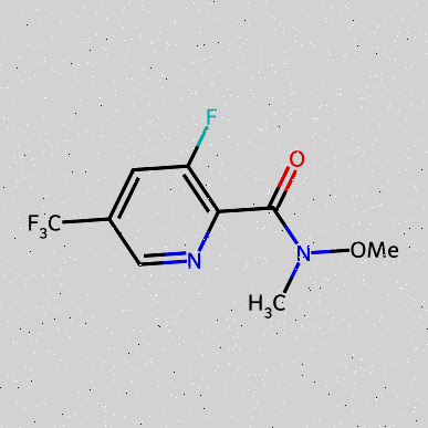 CON(C)C(=O)c1ncc(C(F)(F)F)cc1F